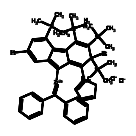 CCc1cc([Si](C)(C)C)c2c(c1)=[C]([Zr+2]=[C](c1ccccc1)c1ccccc1)C1=C(C3=CC=CC3)C(CC)([Si](C)(C)C)C([Si](C)(C)C)=C([Si](C)(C)C)C=21.[Cl-].[Cl-]